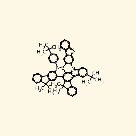 CC(C)(C)c1ccc(N2B3c4cc5c(cc4-n4c6ccc(C(C)(C)C)cc6c6c7c(c(c3c64)-c3cc4c(cc32)-c2ccccc2C4(C)C)C(C)(C)c2ccccc2-7)sc2ccccc25)cc1